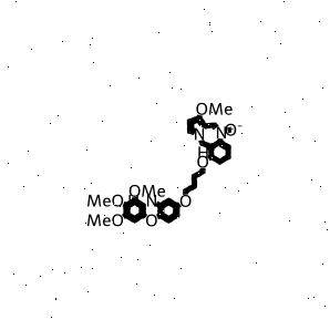 COc1cc(Oc2ccc(OCCCCOC3CCC=C4[C@@H]3Cn3ccc(OC)c3C=[N+]4[O-])cc2N)cc(OC)c1OC